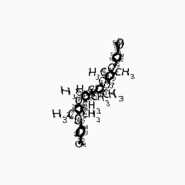 Cc1cc(Oc2c(C)cc(C(C)(C)c3cc(C)c(Oc4cc(C)c(OCc5ccc(C6CO6)cc5)c(C)c4)c(C)c3)cc2C)cc(C)c1OCc1ccc(C2CO2)cc1